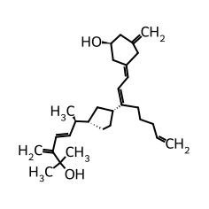 C=CCCC/C(=C\C=C1\CC(=C)C[C@H](O)C1)[C@@H]1CC[C@H]([C@H](C)/C=C/C(=C)C(C)(C)O)C1